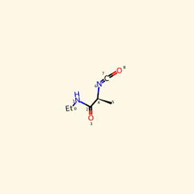 CCNC(=O)[C@H](C)N=C=O